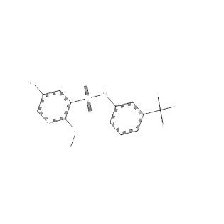 COc1ncc(Br)cc1S(=O)(=O)Nc1cccc(C(F)(F)F)c1